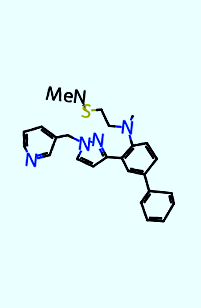 CNSCCN(C)c1ccc(-c2ccccc2)cc1-c1ccn(Cc2cccnc2)n1